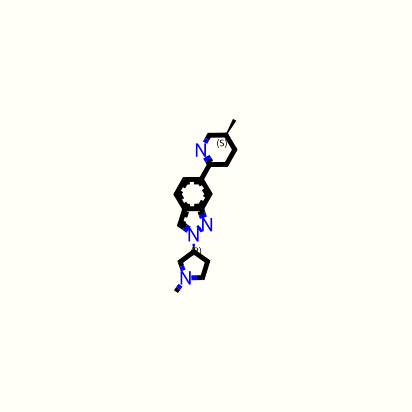 C[C@H]1CCC(c2ccc3cn([C@@H]4CCN(C)C4)nc3c2)=NC1